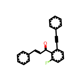 O=C(/C=C/c1ccccc1)c1c(F)cccc1C#Cc1ccccc1